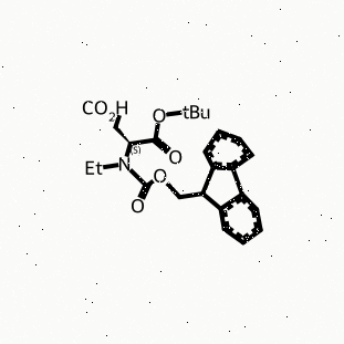 CCN(C(=O)OCC1c2ccccc2-c2ccccc21)[C@@H](CC(=O)O)C(=O)OC(C)(C)C